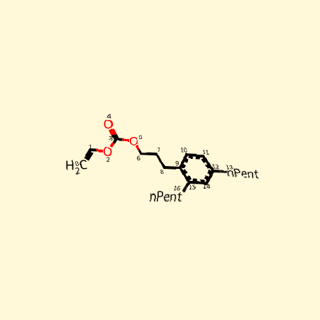 C=COC(=O)OCCCc1ccc(CCCCC)cc1CCCCC